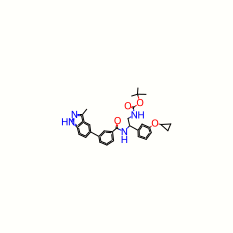 Cc1n[nH]c2ccc(-c3cccc(C(=O)NC(CNC(=O)OC(C)(C)C)c4cccc(OC5CC5)c4)c3)cc12